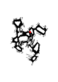 c1ccc(-c2cccc(-c3nc(-c4cccc(-c5ccccc5)c4)nc(-n4c5ccccc5c5ccc6c(c7ccccc7n7c8ccccc8cc67)c54)n3)c2)cc1